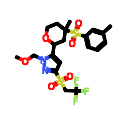 COCn1nc(S(=O)(=O)CC(F)(F)F)cc1C1CC(C)(S(=O)(=O)c2cccc(C)c2)CCO1